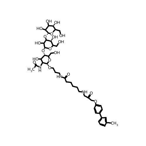 CC(=O)NC1C(O)[C@H](O[C@@H]2OC(CO)[C@H](O)C(O[C@H]3OC(CO)[C@H](O)C(O)C3O)C2O)C(CO)O[C@H]1OCCCNC(=O)CCCCCNCC(=O)COc1ccc(-c2cccc(C)c2)cc1